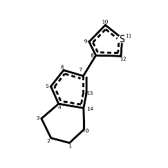 [CH]1CCCc2ccc(-c3ccsc3)cc21